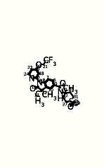 CC1(NC(=O)c2ccc3c(c2)C(C)(C)C(=O)N3c2cc(OCC(F)(F)F)ccn2)CCS(=O)(=O)CC1